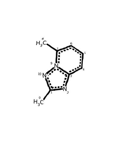 Cc1nc2cccc(C)n2n1